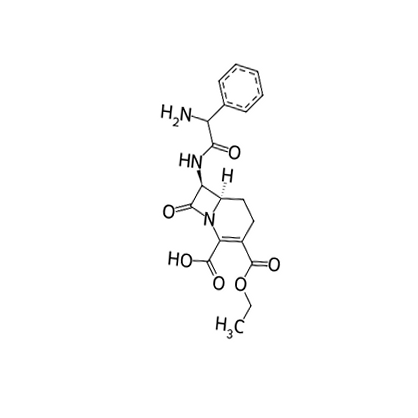 CCOC(=O)C1=C(C(=O)O)N2C(=O)[C@@H](NC(=O)C(N)c3ccccc3)[C@H]2CC1